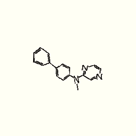 CN(c1ccc(-c2ccccc2)cc1)c1cnccn1